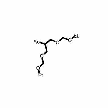 CCOCOCC(COCOCC)C(C)=O